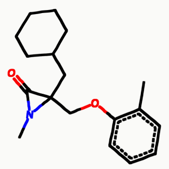 Cc1ccccc1OCC1(CC2CCCCC2)C(=O)N1C